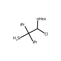 CCCCCCC(Cl)C([SiH3])(C(C)C)C(C)C